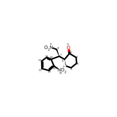 O=C1CCCC[C@@H]1[C@H](C[N+](=O)[O-])c1ccccc1[N+](=O)[O-]